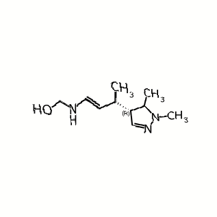 CC(C=CNCO)[C@H]1C=NN(C)C1C